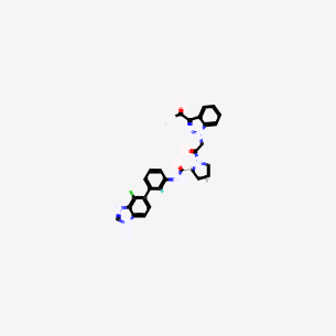 CC(=O)c1nn(CC(=O)N2C[C@H](F)C[C@H]2C(=O)Nc2cccc(-c3ccc4[nH]cnc4c3Cl)c2F)c2ccccc12